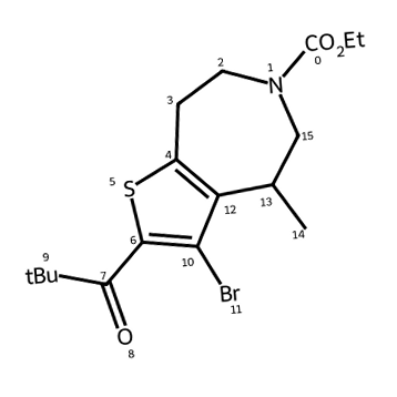 CCOC(=O)N1CCc2sc(C(=O)C(C)(C)C)c(Br)c2C(C)C1